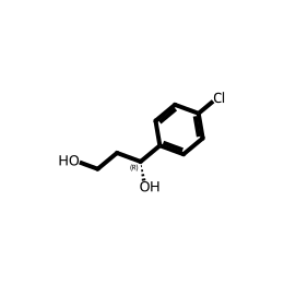 OCC[C@@H](O)c1ccc(Cl)cc1